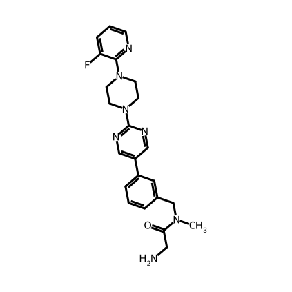 CN(Cc1cccc(-c2cnc(N3CCN(c4ncccc4F)CC3)nc2)c1)C(=O)CN